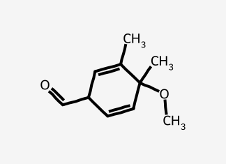 COC1(C)C=CC(C=O)C=C1C